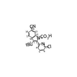 CC(C)(C)c1c(-c2cccc(Cl)n2)n(C(=O)O)c2cc(C#N)ccc12